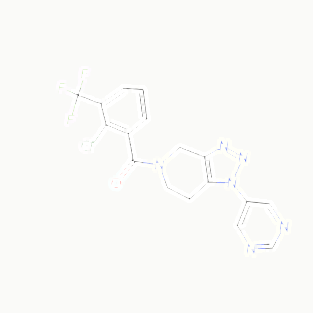 O=C(c1cccc(C(F)(F)F)c1Cl)N1CCc2c(nnn2-c2cncnc2)C1